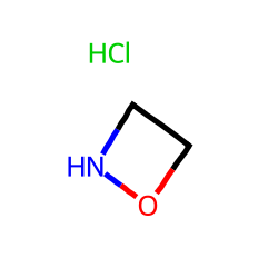 C1CON1.Cl